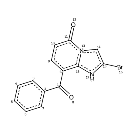 O=C(c1ccccc1)c1ccc(=O)n2cc(Br)[nH]c12